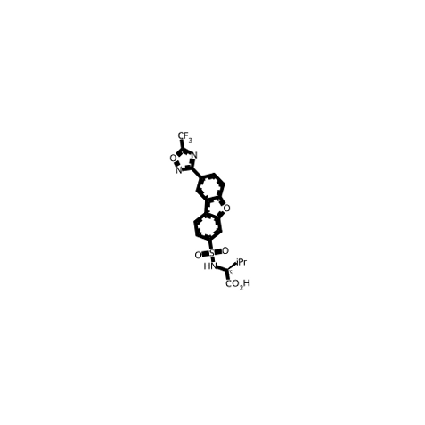 CC(C)[C@H](NS(=O)(=O)c1ccc2c(c1)oc1ccc(-c3noc(C(F)(F)F)n3)cc12)C(=O)O